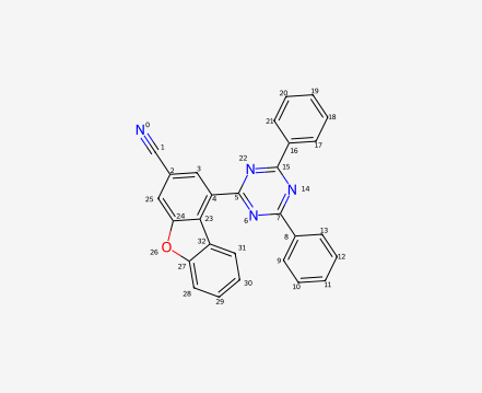 N#Cc1cc(-c2nc(-c3ccccc3)nc(-c3ccccc3)n2)c2c(c1)oc1ccccc12